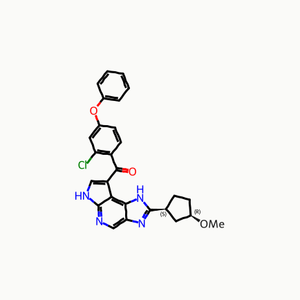 CO[C@@H]1CC[C@H](c2nc3cnc4[nH]cc(C(=O)c5ccc(Oc6ccccc6)cc5Cl)c4c3[nH]2)C1